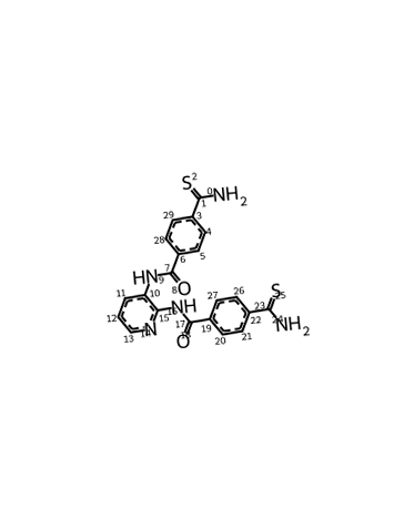 NC(=S)c1ccc(C(=O)Nc2cccnc2NC(=O)c2ccc(C(N)=S)cc2)cc1